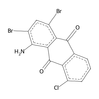 Nc1c(Br)cc(Br)c2c1C(=O)c1c(Cl)cccc1C2=O